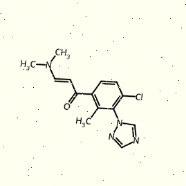 Cc1c(C(=O)C=CN(C)C)ccc(Cl)c1-n1cncn1